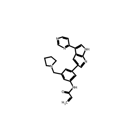 C=CC(=O)Nc1cc(CN2CCCC2)cc(-c2cnc3[nH]cc(-c4ccncn4)c3c2)c1